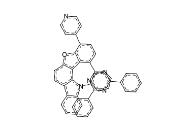 c1ccc(-c2nc(-c3ccccc3)nc(-c3ccc(-c4ccncc4)c4oc5ccc6c7ccccc7n(-c7ccccc7)c6c5c34)n2)cc1